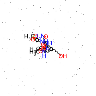 CC(C)(C)OC(=O)N[C@H]1CCc2cc(CCCCCO)cc3c2N(C1=O)[C@H](C(=O)N[C@@H](CCC(N)=O)C(=O)NCc1ccc(S(C)(=O)=O)cc1)C3